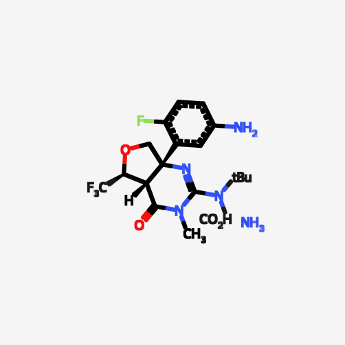 CN1C(=O)[C@@H]2[C@@H](C(F)(F)F)OC[C@]2(c2cc(N)ccc2F)N=C1N(C(=O)O)C(C)(C)C.N